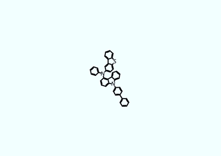 c1ccc(-c2ccc(-n3c4ccccc4c4c(N(c5ccccc5)c5ccc6sc7ccccc7c6c5)cccc43)cc2)cc1